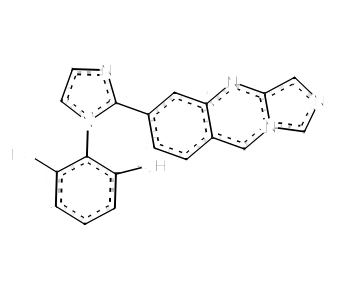 Cc1cccc(C)c1-n1ccnc1-c1ccc2cn3cncc3nc2c1